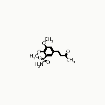 COc1cc(CCC(C)=O)cc(S(N)(=O)=O)c1OC